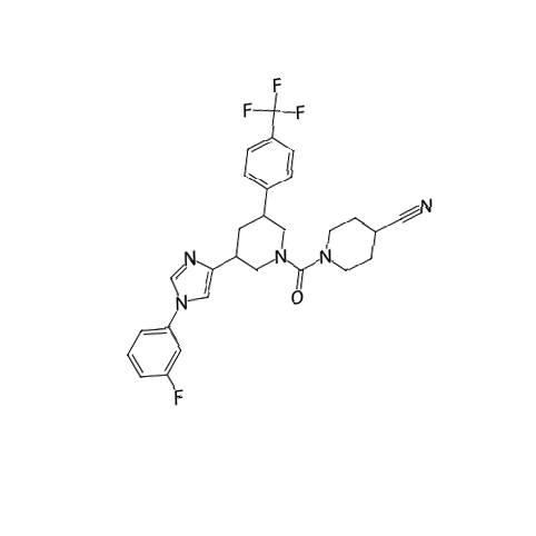 N#CC1CCN(C(=O)N2CC(c3ccc(C(F)(F)F)cc3)CC(c3cn(-c4cccc(F)c4)cn3)C2)CC1